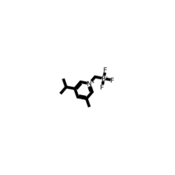 Cc1cc(C(C)C)c[n+](C[B-](F)(F)F)c1